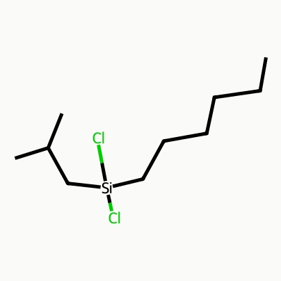 CCCCCC[Si](Cl)(Cl)CC(C)C